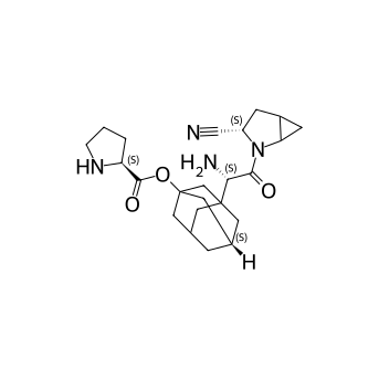 N#C[C@@H]1CC2CC2N1C(=O)[C@@H](N)C12CC3C[C@H](CC(OC(=O)[C@@H]4CCCN4)(C3)C1)C2